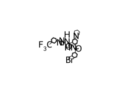 O=C(Nc1ccc(N2CCCCC2)cc1C(=O)Nc1ccn(-c2cccc(C(F)(F)F)c2)n1)c1cccc(CBr)c1